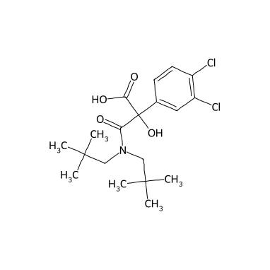 CC(C)(C)CN(CC(C)(C)C)C(=O)C(O)(C(=O)O)c1ccc(Cl)c(Cl)c1